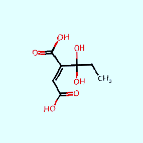 CCC(O)(O)/C(=C\C(=O)O)C(=O)O